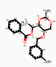 CCCc1cccc(CO[C@@H]2CO[C@H](CCC)O[C@@H]2C(C)OC(=O)c2ccccc2)c1